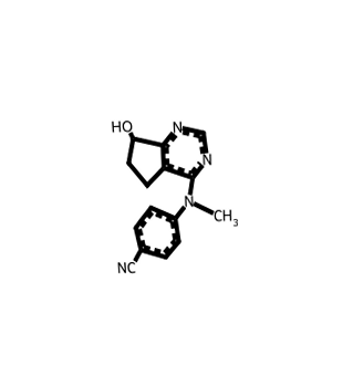 CN(c1ccc(C#N)cc1)c1ncnc2c1CCC2O